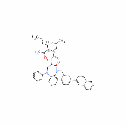 CCCC[C@H](C(N)=O)[C@@H](CC(C)C)C(=O)NC1CN(c2ccccc2)c2ccccc2N(Cc2cccc(-c3ccc4ccccc4c3)c2)C1=O